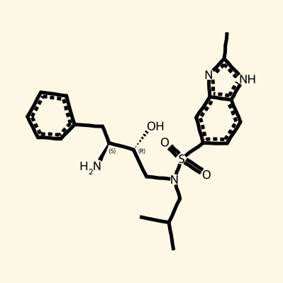 Cc1nc2cc(S(=O)(=O)N(CC(C)C)C[C@@H](O)[C@@H](N)Cc3ccccc3)ccc2[nH]1